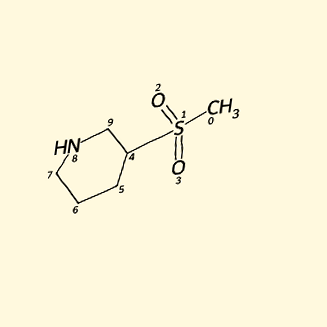 CS(=O)(=O)C1CCCNC1